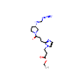 N#CCOC(=O)CCn1ccnc1CCC(=O)N1CC[C@H](NCN=[N+]=[N-])C1